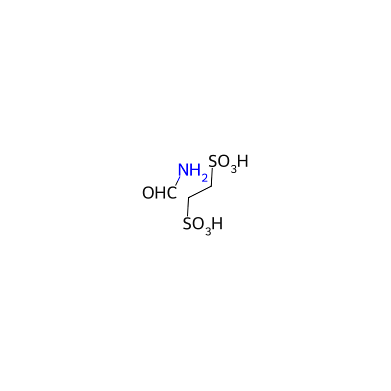 NC=O.O=S(=O)(O)CCS(=O)(=O)O